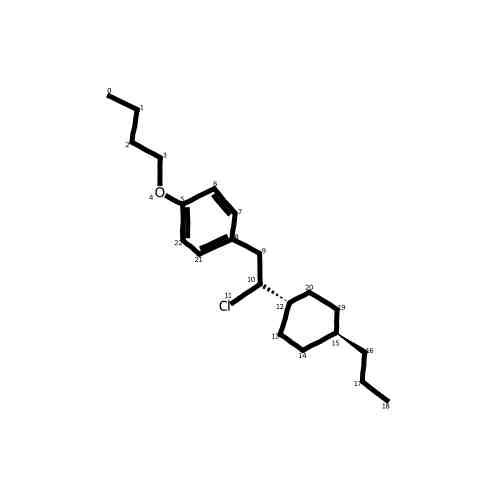 CCCCOc1ccc(CC(Cl)[C@H]2CC[C@H](CCC)CC2)cc1